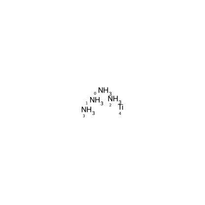 N.N.N.N.[Ti]